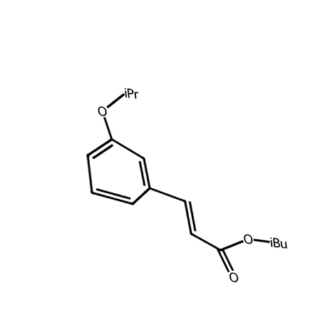 CCC(C)OC(=O)C=Cc1cccc(OC(C)C)c1